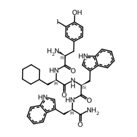 NC(=O)[C@@H](Cc1c[nH]c2ccccc12)NC(=O)[C@H](Cc1c[nH]c2ccccc12)NC(=O)[C@@H](CC1CCCCC1)NC(=O)[C@@H](N)Cc1ccc(O)c(I)c1